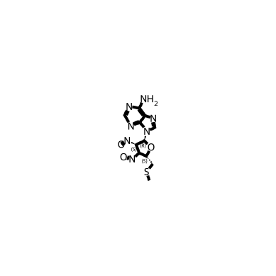 CSC[C@H]1O[C@@H](n2cnc3c(N)ncnc32)[C@@H](N=O)C1N=O